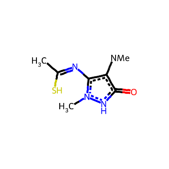 CNc1c(/N=C(/C)S)n(C)[nH]c1=O